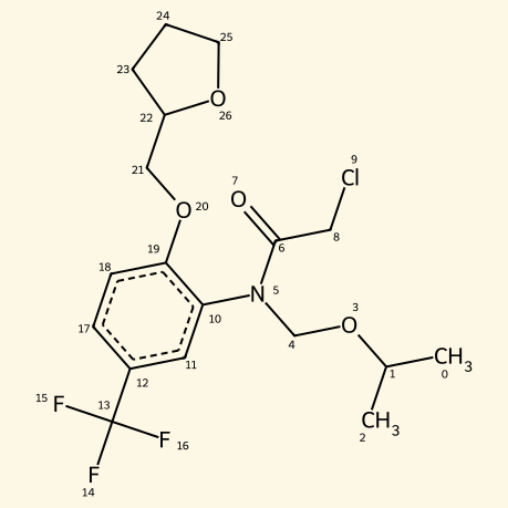 CC(C)OCN(C(=O)CCl)c1cc(C(F)(F)F)ccc1OCC1CCCO1